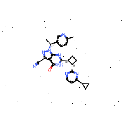 Cc1ccc([C@H](C)n2nc(C#N)c3c(=O)[nH]c([C@H]4CC[C@@H]4c4nccc(C5CC5)n4)nc32)cn1